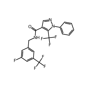 O=C(NCc1cc(F)cc(C(F)(F)F)c1)c1cnn(-c2ccccc2)c1C(F)(F)F